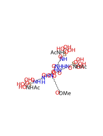 COC(=O)CCCCCCCCCCC(=O)NC(COCCC(=O)NCCCCCNC(=O)CCS[C@@H]1O[C@H](CO)[C@H](O)[C@H](O)[C@H]1NC(C)=O)(COCCC(=O)NCCCCCNC(=O)CCS[C@@H]1O[C@H](CO)[C@H](O)[C@H](O)[C@H]1NC(C)=O)COCCC(=O)NCCCCCNC(=O)CCS[C@@H]1O[C@H](CO)[C@H](O)[C@H](O)[C@H]1NC(C)=O